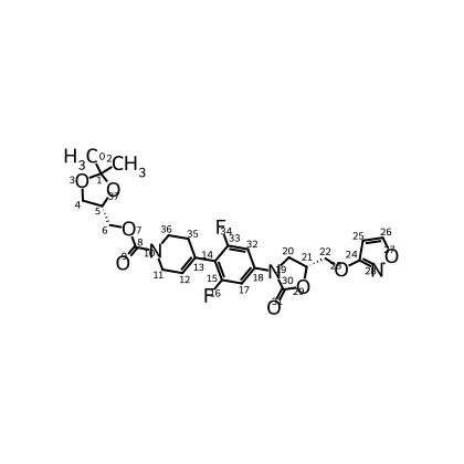 CC1(C)OC[C@@H](COC(=O)N2CC=C(c3c(F)cc(N4C[C@H](COc5ccon5)OC4=O)cc3F)CC2)O1